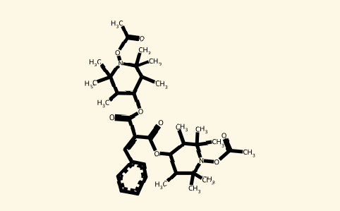 CC(=O)ON1C(C)(C)C(C)C(OC(=O)C(=Cc2ccccc2)C(=O)OC2C(C)C(C)(C)N(OC(C)=O)C(C)(C)C2C)C(C)C1(C)C